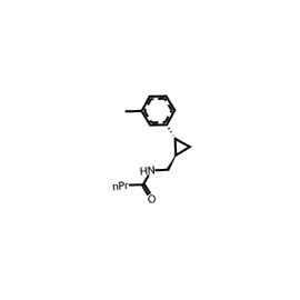 CCCC(=O)NC[C@@H]1C[C@H]1c1cccc(C)c1